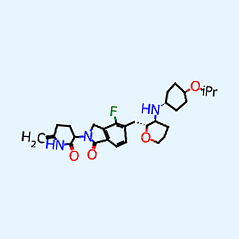 C=C1CCC(N2Cc3c(ccc(C[C@H]4OCCC[C@@H]4N[C@H]4CC[C@H](OC(C)C)CC4)c3F)C2=O)C(=O)N1